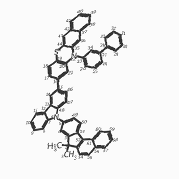 CC1(C)c2cc(-n3c4ccccc4c4cc(-c5ccc6c(c5)N(c5cccc(-c7ccccc7)c5)c5cc7ccccc7cc5S6)ccc43)ccc2-c2c1ccc1ccccc21